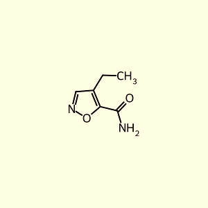 CCc1cnoc1C(N)=O